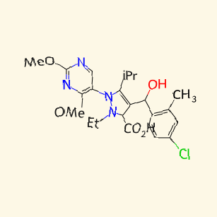 CCN1C(C(=O)O)C(C(O)c2ccc(Cl)cc2C)=C(C(C)C)N1c1cnc(OC)nc1OC